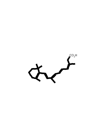 CC(C=CC1=C(C)CCCC1(C)C)=CC=CC=C(C)CC(=O)O